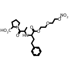 CC(NC(CCc1ccccc1)C(=O)OCCOCCO[N+](=O)[O-])C(=O)N1CCCC1C(=O)O